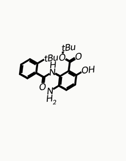 CC(C)(C)OC(=O)c1c(O)ccc(N)c1NC(=O)c1ccccc1C(C)(C)C